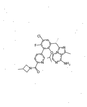 Cc1nc([C@@H](C)c2cc(Cl)c(F)c(-c3ccc(C(=O)N4CC(C)C4)nc3)c2OC(C)C)n2ccnc(N)c12